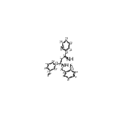 N=C(/C=C(\NCc1ccccc1F)c1cccc(F)c1)c1ccccn1